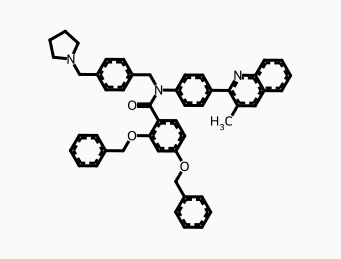 Cc1cc2ccccc2nc1-c1ccc(N(Cc2ccc(CN3CCCC3)cc2)C(=O)c2ccc(OCc3ccccc3)cc2OCc2ccccc2)cc1